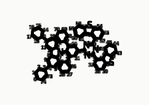 c1ccc(-c2ccc3c(c2)c2cc(-c4ccccc4)ccc2n3-c2c(-c3ccccc3)cc(-c3nc(-c4cccc5sc6ccccc6c45)nc(-c4cccc5sc6ccccc6c45)n3)cc2-c2ccccc2)cc1